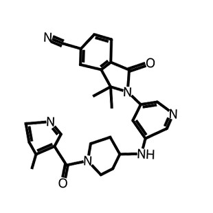 Cc1ccncc1C(=O)N1CCC(Nc2cncc(N3C(=O)c4ccc(C#N)cc4C3(C)C)c2)CC1